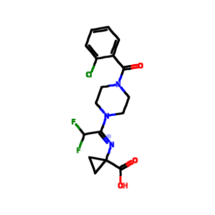 O=C(c1ccccc1Cl)N1CCN(/C(=N/C2(C(=O)O)CC2)C(F)F)CC1